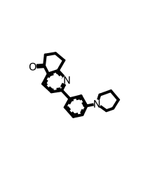 O=C1CCCc2nc(-c3cccc(N4CCCCC4)c3)ccc21